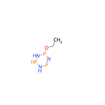 CCOp1np[nH][pH][nH]1